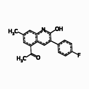 CC(=O)c1cc(C)cc2nc(O)c(-c3ccc(F)cc3)cc12